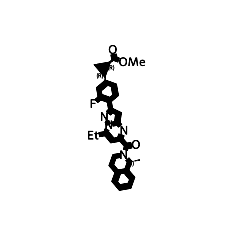 CCc1cc(C(=O)N2CCc3ccccc3[C@H]2C)nc2cc(-c3ccc([C@@H]4C[C@H]4C(=O)OC)cc3F)nn12